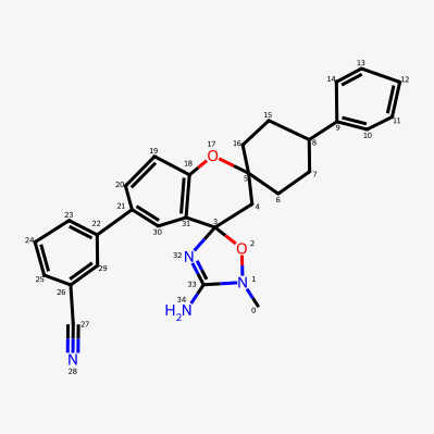 CN1OC2(CC3(CCC(c4ccccc4)CC3)Oc3ccc(-c4cccc(C#N)c4)cc32)N=C1N